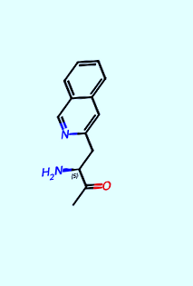 CC(=O)[C@@H](N)Cc1cc2ccccc2cn1